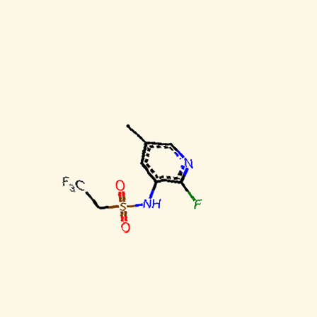 Cc1cnc(F)c(NS(=O)(=O)CC(F)(F)F)c1